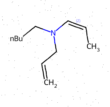 C=CCN(/C=C\C)CCCCC